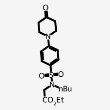 CCCCN(CC(=O)OCC)S(=O)(=O)c1ccc(N2CCC(=O)CC2)cc1